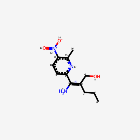 CCC/C(CO)=C(\N)c1ccc([N+](=O)[O-])c(C)n1